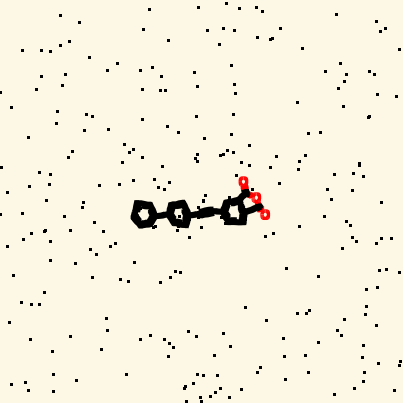 O=C1OC(=O)c2cc(C#Cc3ccc(-c4ccccc4)cc3)ccc21